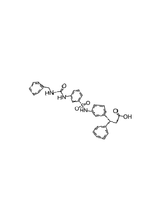 O=C(O)CC(c1ccccc1)c1cccc(NS(=O)(=O)c2cccc(NC(=O)NCc3ccccc3)c2)c1